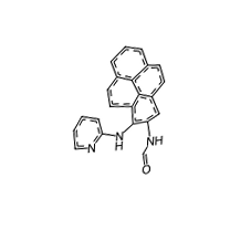 O=CNc1cc2ccc3cccc4ccc(c1Nc1ccccn1)c2c34